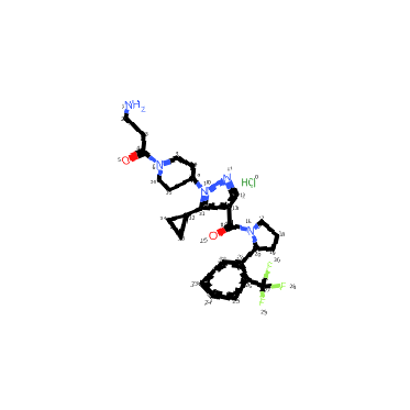 Cl.NCCC(=O)N1CCC(n2ncc(C(=O)N3CCCC3c3ccccc3C(F)(F)F)c2C2CC2)CC1